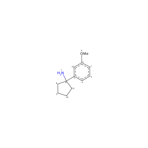 COc1cccc(C2(N)CCCC2)c1